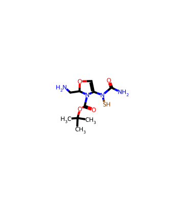 CC(C)(C)OC(=O)N1C(N(S)C(N)=O)=COC1CN